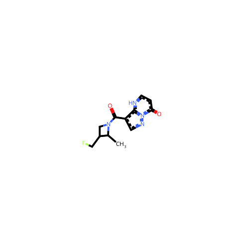 CC1C(CF)CN1C(=O)c1cnn2c(=O)cc[nH]c12